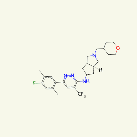 Cc1cc(-c2cc(C(F)(F)F)c(NC3CC4CN(CC5CCOCC5)C[C@H]4C3)nn2)c(C)cc1F